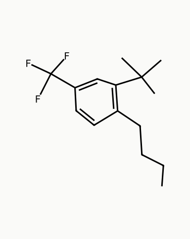 CCCCc1ccc(C(F)(F)F)cc1C(C)(C)C